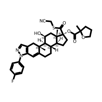 CC1(C(=O)O[C@]2(C(=O)SCC#N)CC[C@H]3[C@@H]4CCC5=Cc6c(cnn6-c6ccc(F)cc6)C[C@]5(C)[C@H]4[C@@H](O)C[C@@]32C)CCCO1